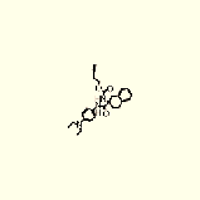 C#CCCOC(=O)NC1(C(=O)Nc2ccc(N(CC)CC)cc2)CCc2ccccc2C1